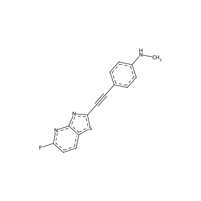 CNc1ccc(C#Cc2nc3nc(F)ccc3s2)cc1